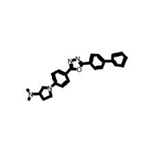 CN(C)C1CCN(c2ccc(-c3nnc(-c4ccc(-c5ccccc5)cc4)o3)cc2)C1